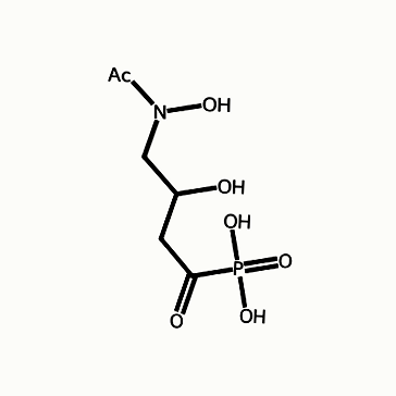 CC(=O)N(O)CC(O)CC(=O)P(=O)(O)O